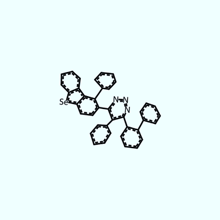 c1ccc(-c2ccccc2-c2nnnc(-c3ccc4[se]c5ccccc5c4c3-c3ccccc3)c2-c2ccccc2)cc1